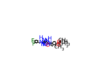 CC1=C(C(=O)OC(C)(C)C)C=CC2C1CC[C@@H]2NC(=O)c1ncnc2c(NCc3ccc(F)c(F)c3)n[nH]c12